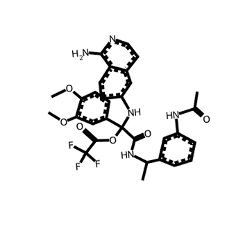 COc1ccc(C(Nc2ccc3c(N)nccc3c2)(OC(=O)C(F)(F)F)C(=O)NC(C)c2cccc(NC(C)=O)c2)cc1OC